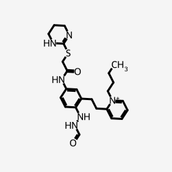 CCCC[n+]1ccccc1CCc1cc(NC(=O)CSC2=NCCCN2)ccc1NNC=O